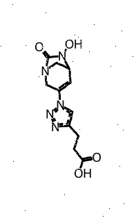 O=C(O)CCc1cn(C2=CC3CN(C2)C(=O)N3O)nn1